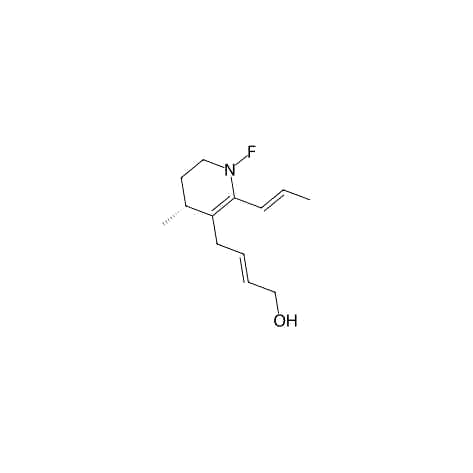 CC=CC1=C(CC=CCO)[C@H](C)CCN1F